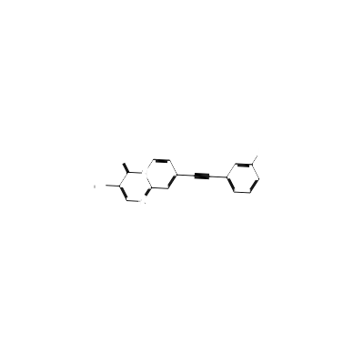 CCCc1cnc2cc(C#Cc3cccc(F)c3)ccn2c1=O